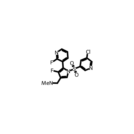 CNCc1cn(S(=O)(=O)c2cncc(Cl)c2)c(-c2cccnc2F)c1F